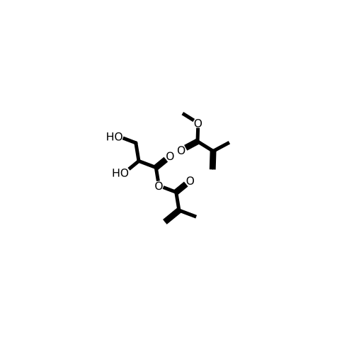 C=C(C)C(=O)OC.C=C(C)C(=O)OC(=O)C(O)CO